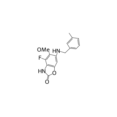 COc1c(NCc2cccc(C)c2)cc2oc(=O)[nH]c2c1F